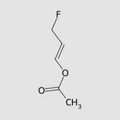 CC(=O)OC=CCF